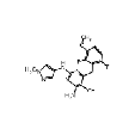 COc1ccc(F)c(Cc2nc(Nc3cnn(C)c3)nc(N)c2C)c1F